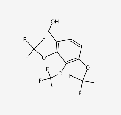 OCc1ccc(OC(F)(F)F)c(OC(F)(F)F)c1OC(F)(F)F